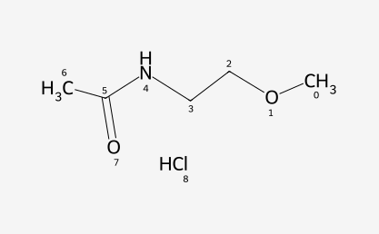 COCCNC(C)=O.Cl